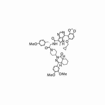 COc1ccc(C[C@H](NC(=O)c2c(C)[nH]c3c(-c4c(OCC5CC5)ccc5c4OCO5)ncnc23)C(=O)N2CCC(N3N=C(c4ccc(OC)c(OC)c4)[C@H]4CCCC[C@H]4C3=O)CC2)cc1